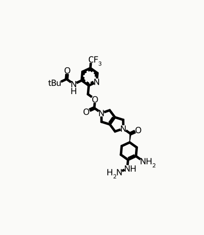 CC(C)(C)C(=O)Nc1cc(C(F)(F)F)cnc1COC(=O)N1CC2=C(C1)CN(C(=O)[C@@H]1CCC(NN)=C(N)C1)C2